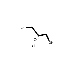 OCC[CH2][Zn+].[Cl-].[O-2]